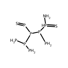 N[PH](=S)P(P)P(P=S)P(P)P